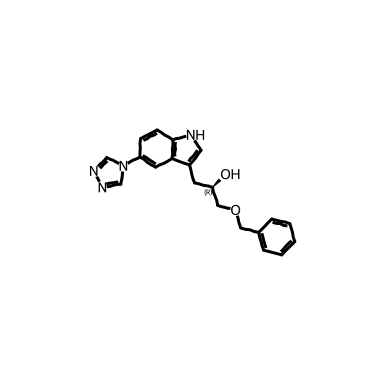 O[C@@H](COCc1ccccc1)Cc1c[nH]c2ccc(-n3cnnc3)cc12